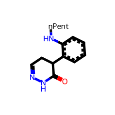 CCCCCNc1ccccc1C1CC=NNC1=O